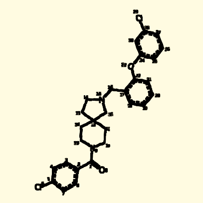 O=C(c1ccc(Cl)cc1)N1CCC2(CCN(Cc3ccccc3Oc3cccc(Cl)c3)C2)CC1